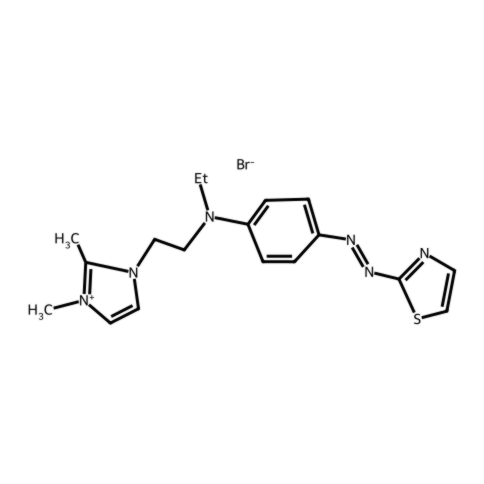 CCN(CCn1cc[n+](C)c1C)c1ccc(N=Nc2nccs2)cc1.[Br-]